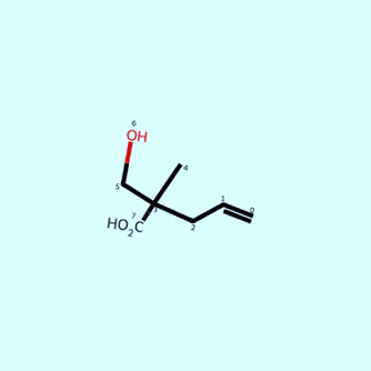 C=CCC(C)(CO)C(=O)O